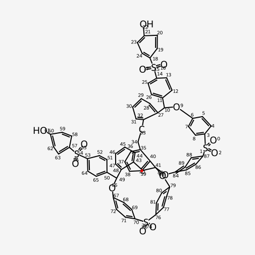 O=S1(=O)c2ccc(cc2)OC(c2ccc(S(=O)(=O)c3ccc(O)cc3)cc2)c2ccccc2CCc2ccccc2C2(Cc3ccccc3C(c3ccc(S(=O)(=O)c4ccc(O)cc4)cc3)Oc3ccc(cc3)S(=O)(=O)c3ccc(cc3)O2)Oc2ccc1cc2